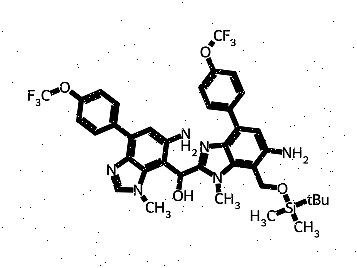 Cn1cnc2c(-c3ccc(OC(F)(F)F)cc3)cc(N)c(C(O)c3nc4c(-c5ccc(OC(F)(F)F)cc5)cc(N)c(CO[Si](C)(C)C(C)(C)C)c4n3C)c21